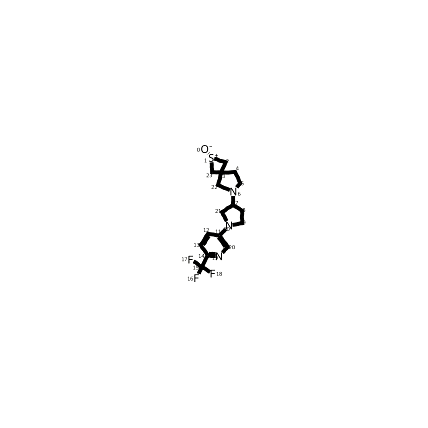 [O-][S+]1CC2(CCN(C3CCN(c4ccc(C(F)(F)F)nc4)C3)C2)C1